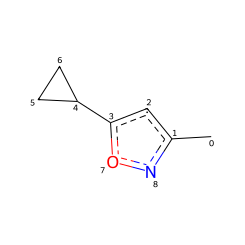 Cc1[c]c(C2CC2)on1